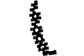 CCCCCC1CCC(C2CCC(C3CCC(CCc4ccc(CCCF)cc4)CC3)CC2)CC1